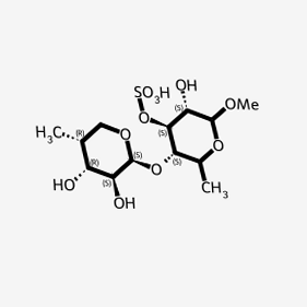 COC1OC(C)[C@H](O[C@@H]2OC[C@@H](C)[C@@H](O)[C@@H]2O)[C@@H](OS(=O)(=O)O)[C@@H]1O